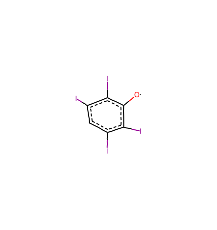 [O]c1c(I)c(I)cc(I)c1I